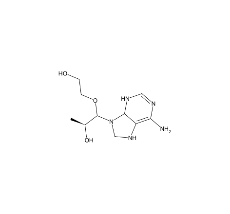 C[C@H](O)C(OCCO)N1CNC2=C(N)N=CNC21